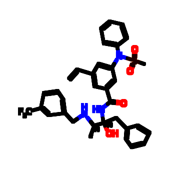 C=Cc1cc(C(=O)N[C@](O)(Cc2ccccc2)[C@@H](C)NCc2cccc(C(F)(F)F)c2)cc(N(c2ccccc2)S(C)(=O)=O)c1